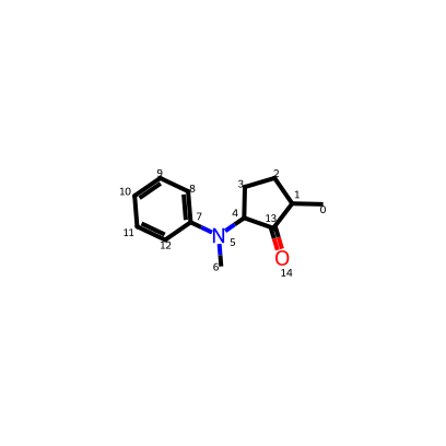 CC1CCC(N(C)c2ccccc2)C1=O